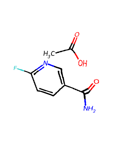 CC(=O)O.NC(=O)c1ccc(F)nc1